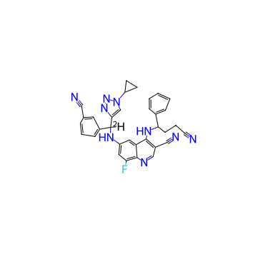 [2H]C(Nc1cc(F)c2ncc(C#N)c(NC(CCC#N)c3ccccc3)c2c1)(c1cccc(C#N)c1)c1cn(C2CC2)nn1